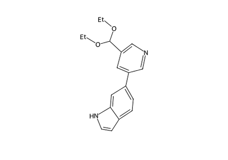 CCOC(OCC)c1cncc(-c2ccc3cc[nH]c3c2)c1